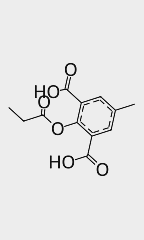 CCC(=O)Oc1c(C(=O)O)cc(C)cc1C(=O)O